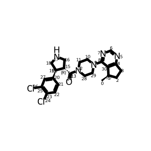 C[C@@H]1CCc2ncnc(N3CCN(C(=O)[C@H]4CNC[C@@H]4c4ccc(Cl)c(Cl)c4)CC3)c21